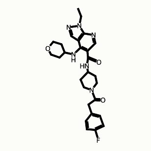 CCn1ncc2c(NC3CCOCC3)c(C(=O)NC3CCN(C(=O)Cc4ccc(F)cc4)CC3)cnc21